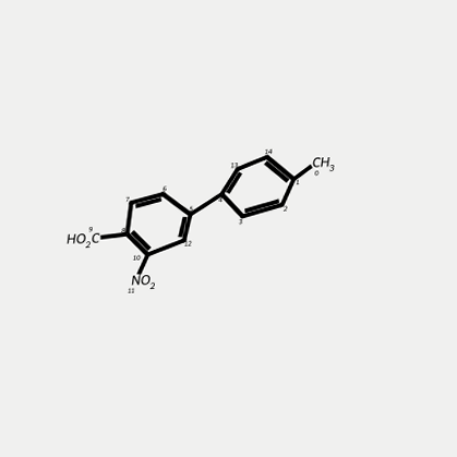 Cc1ccc(-c2ccc(C(=O)O)c([N+](=O)[O-])c2)cc1